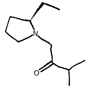 CC[C@@H]1CCCN1CC(=O)C(C)C